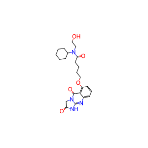 O=C1Cn2c(nc3cccc(OCCCCC(=O)N(CCO)C4CCCCC4)c3c2=O)N1